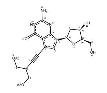 CC(=O)OCC(C#Cc1nn([C@H]2C[C@@H](O)[C@@H](CO)O2)c2nc(N)[nH]c(=O)c12)COC(C)=O